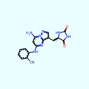 N#Cc1ccccc1Nc1cc(N)n2ncc(/C=C3\NC(=O)NC3=O)c2n1